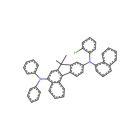 CC1(C)c2cc(N(c3ccccc3F)c3cccc4ccccc34)ccc2-c2c1cc(N(c1ccccc1)c1ccccc1)c1ccccc21